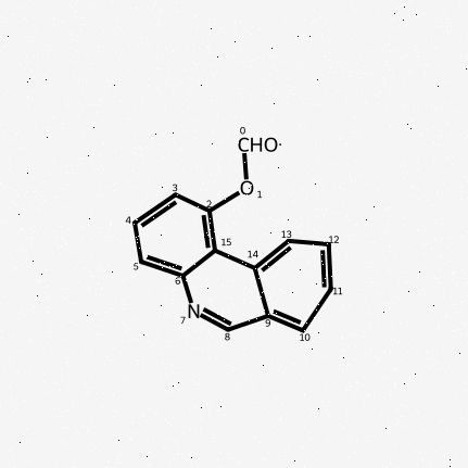 O=[C]Oc1cccc2ncc3ccccc3c12